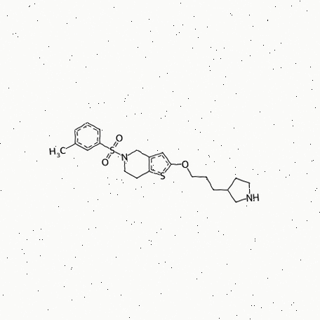 Cc1cccc(S(=O)(=O)N2CCc3sc(OCCCC4CCNC4)cc3C2)c1